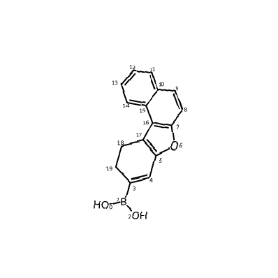 OB(O)C1=Cc2oc3ccc4ccccc4c3c2CC1